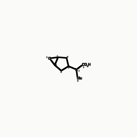 CC(C)(C)N(C(=O)O)C1CC2OC2C1